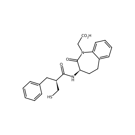 O=C(O)CN1C(=O)[C@H](NC(=O)[C@@H](CS)Cc2ccccc2)CCc2ccccc21